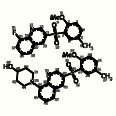 COc1ccc(C)cc1S(=O)(=O)c1cnc2c(F)cccc2c1.COc1ccc(C)cc1S(=O)(=O)c1cnc2c(N3CCC(O)CC3)cccc2c1